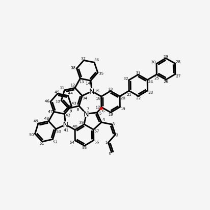 C=C/C=C\c1c(C)n(-c2cccc3c4c(n(-c5cccc(-c6ccc(-c7ccccc7)cc6)c5)c23)=CCCC=4)c2c(-n3c4ccccc4c4ccccc43)cccc12